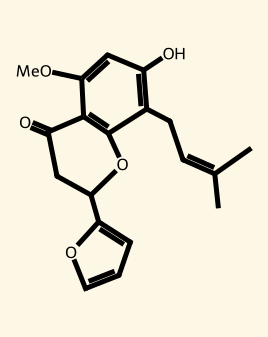 COc1cc(O)c(CC=C(C)C)c2c1C(=O)CC(c1ccco1)O2